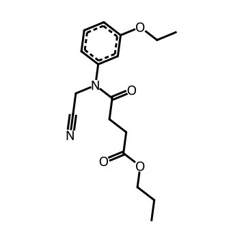 CCCOC(=O)CCC(=O)N(CC#N)c1cccc(OCC)c1